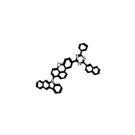 c1ccc(-c2nc(-c3ccc4c(c3)-c3cccc5c(-n6c7ccccc7c7cc8ccccc8cc76)ccc(c35)O4)nc(-c3ccc4ccccc4c3)n2)cc1